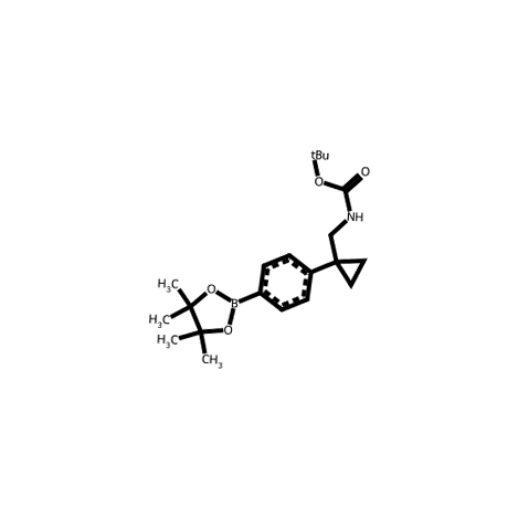 CC(C)(C)OC(=O)NCC1(c2ccc(B3OC(C)(C)C(C)(C)O3)cc2)CC1